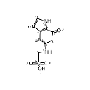 O=C1CC(NCS(=O)(=O)O)=Nc2nc[nH]c21